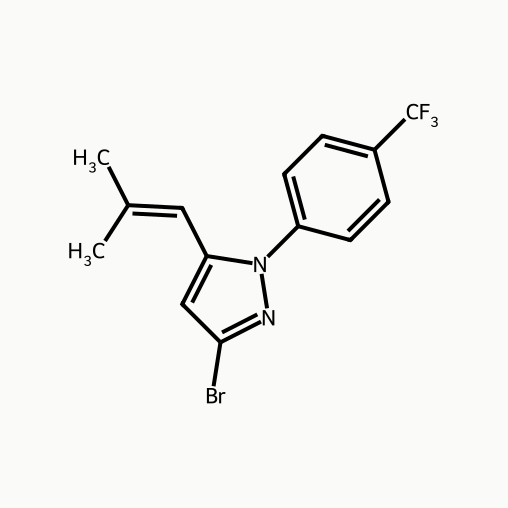 CC(C)=Cc1cc(Br)nn1-c1ccc(C(F)(F)F)cc1